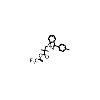 C=C(OC(=O)C(C)(C)Cn1nc(-c2ccc(C)cc2)c2ccccc21)C(F)(F)F